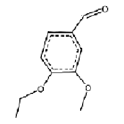 CCOc1ccc([C]=O)cc1OC